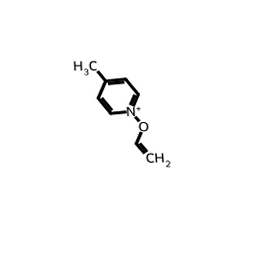 C=CO[n+]1ccc(C)cc1